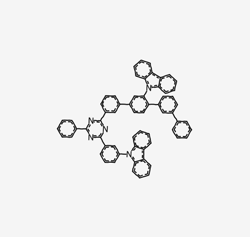 c1ccc(-c2cccc(-c3ccc(-c4cccc(-c5nc(-c6ccccc6)nc(-c6cccc(-n7c8ccccc8c8ccccc87)c6)n5)c4)cc3-n3c4ccccc4c4ccccc43)c2)cc1